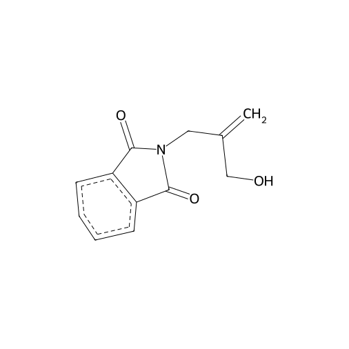 C=C(CO)CN1C(=O)c2ccccc2C1=O